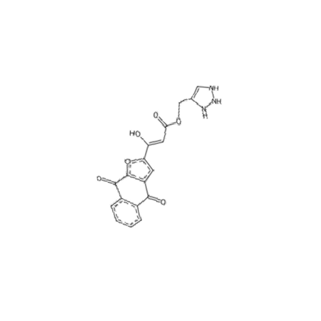 O=C(/C=C(\O)c1cc2c(o1)C(=O)c1ccccc1C2=O)OCC1=CNNN1